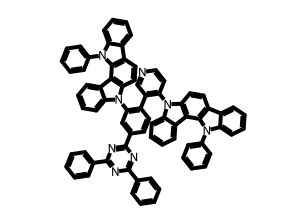 c1ccc(-c2nc(-c3ccccc3)nc(-c3ccc(-c4cnccc4-n4c5ccccc5c5c4ccc4c6ccccc6n(-c6ccccc6)c45)c(-n4c5ccccc5c5c4ccc4c6ccccc6n(-c6ccccc6)c45)c3)n2)cc1